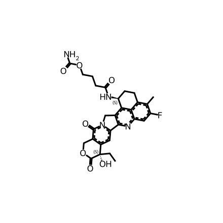 CC[C@@]1(O)C(=O)OCc2c1cc1n(c2=O)Cc2c-1nc1cc(F)c(C)c3c1c2[C@@H](NC(=O)CCCOC(N)=O)CC3